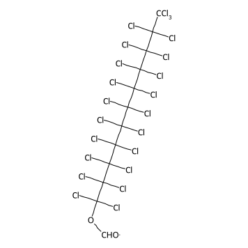 O=[C]OC(Cl)(Cl)C(Cl)(Cl)C(Cl)(Cl)C(Cl)(Cl)C(Cl)(Cl)C(Cl)(Cl)C(Cl)(Cl)C(Cl)(Cl)C(Cl)(Cl)C(Cl)(Cl)C(Cl)(Cl)Cl